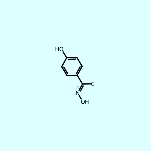 O/N=C(\Cl)c1ccc(O)cc1